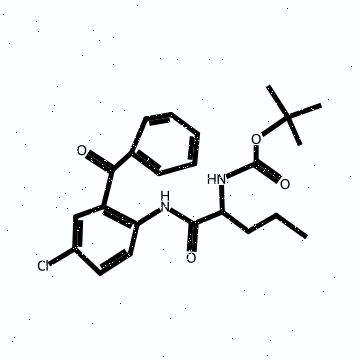 CCCC(NC(=O)OC(C)(C)C)C(=O)Nc1ccc(Cl)cc1C(=O)c1ccccc1